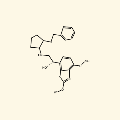 CC(C)Oc1nc2c(OC(C)(C)C)ccc([C@H](O)CNC3CCCC3OCc3ccccc3)c2s1